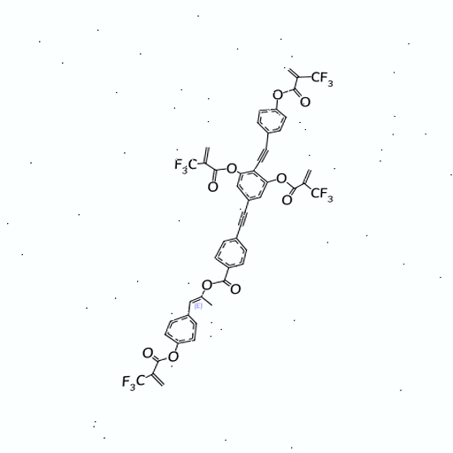 C=C(C(=O)Oc1ccc(C#Cc2c(OC(=O)C(=C)C(F)(F)F)cc(C#Cc3ccc(C(=O)O/C(C)=C/c4ccc(OC(=O)C(=C)C(F)(F)F)cc4)cc3)cc2OC(=O)C(=C)C(F)(F)F)cc1)C(F)(F)F